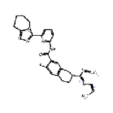 C=N/C(=N\C=C/C)N1CCc2cc(F)c(C(=O)Nc3cccc(-c4nnc5n4CCCC5)n3)cc2C1